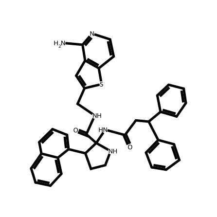 Nc1nccc2sc(CNC(=O)C3(NC(=O)CC(c4ccccc4)c4ccccc4)NCCC3c3cccc4ccccc34)cc12